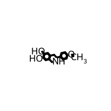 COc1ccc(C2Cc3cc(O)c(O)cc3CN2)cc1